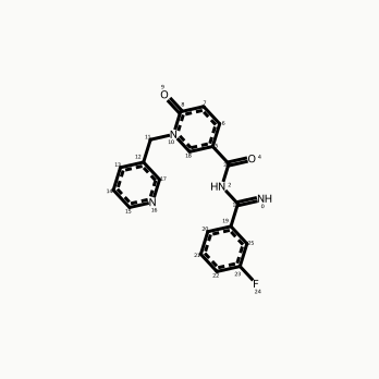 N=C(NC(=O)c1ccc(=O)n(Cc2cccnc2)c1)c1cccc(F)c1